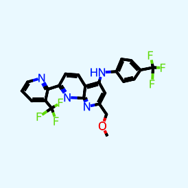 COCc1cc(Nc2ccc(C(F)(F)F)cc2)c2ccc(-c3ncccc3C(F)(F)F)nc2n1